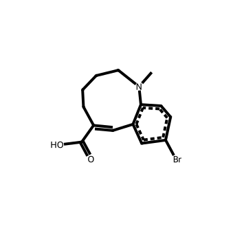 CN1CCCCC(C(=O)O)=Cc2cc(Br)ccc21